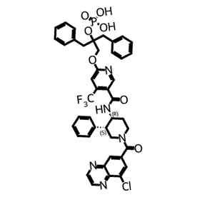 O=C(N[C@@H]1CCN(C(=O)c2cc(Cl)c3nccnc3c2)C[C@@H]1c1ccccc1)c1cnc(OCC(Cc2ccccc2)(Cc2ccccc2)OP(=O)(O)O)cc1C(F)(F)F